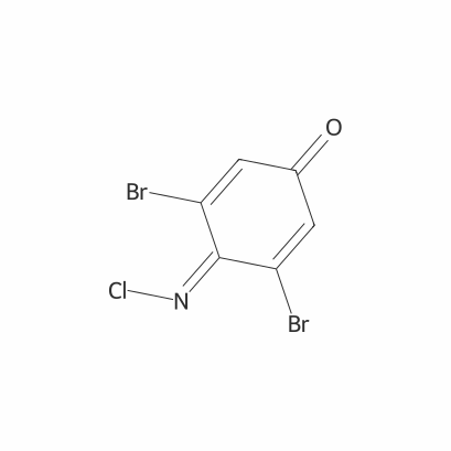 O=C1C=C(Br)C(=NCl)C(Br)=C1